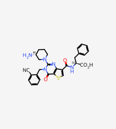 N#Cc1ccccc1Cn1c(N2CCC[C@@H](N)C2)nc2c(C(=O)N[C@@H](Cc3ccccc3)C(=O)O)csc2c1=O